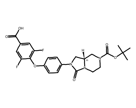 CC(C)(C)OC(=O)N1CCN2C(=O)N(c3ccc(Oc4c(F)cc(C(=O)O)cc4F)cc3)C[C@@H]2C1